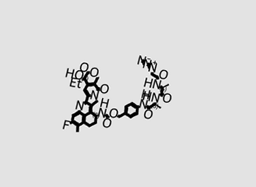 CC[C@@]1(O)C(=O)OCc2c1cc1n(c2=O)Cc2c-1nc1cc(F)c(C)c3c1c2[C@@H](NC(=O)OCc1ccc(NC(=O)[C@H](C)NC(=O)[C@H](C)NC(=O)CN=[N+]=[N-])cc1)CC3